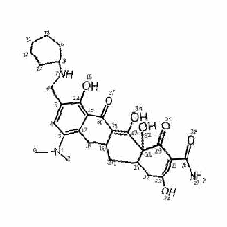 CN(C)c1cc(CNC2CCCCC2)c(O)c2c1CC1CC3CC(O)=C(C(N)=O)C(=O)C3(O)C(O)=C1C2=O